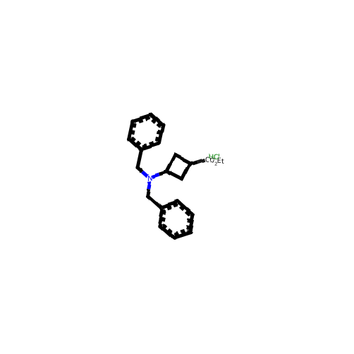 CCOC(=O)C1CC(N(Cc2ccccc2)Cc2ccccc2)C1.Cl